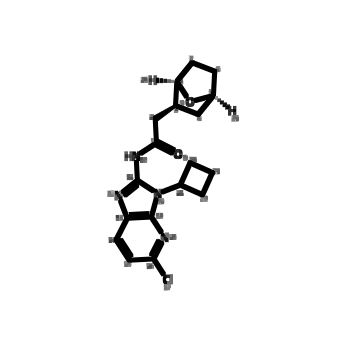 O=C(C[C@@H]1C[C@@H]2CC[C@H]1O2)Nc1nc2ccc(Cl)nc2n1C1CCC1